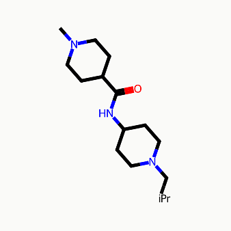 CC(C)CN1CCC(NC(=O)C2CCN(C)CC2)CC1